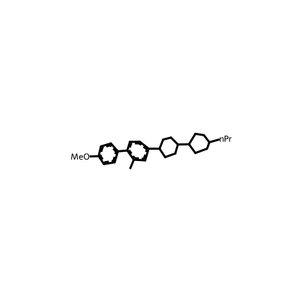 CCCC1CCC(C2CCC(c3ccc(-c4ccc(OC)cc4)c(C)c3)CC2)CC1